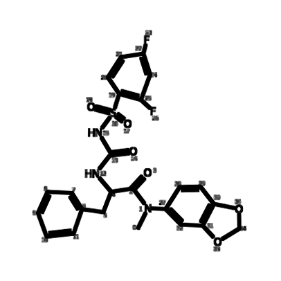 CN(C(=O)C(Cc1ccccc1)NC(=O)NS(=O)(=O)c1ccc(F)cc1F)c1ccc2c(c1)OCO2